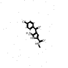 CNC(=O)c1cc(C(=O)c2ccc(Cl)cc2)c(N)[nH]1